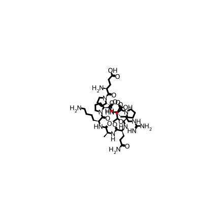 CC(C)[C@H](NC(=O)[C@@H]1CCCN1C(=O)[C@@H](N)CCC(=O)O)C(=O)N1CCC[C@H]1C(=O)N[C@@H](CCC(N)=O)C(=O)N[C@@H](C)C(=O)N[C@@H](CCCCN)C(=O)N1CCC[C@H]1C(=O)N[C@@H](CCCNC(=N)N)C(=O)O